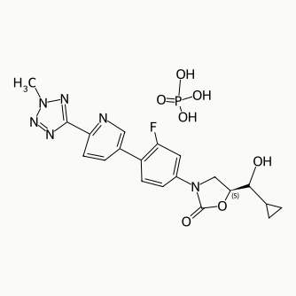 Cn1nnc(-c2ccc(-c3ccc(N4C[C@@H](C(O)C5CC5)OC4=O)cc3F)cn2)n1.O=P(O)(O)O